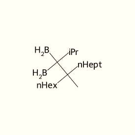 BC(B)(C(C)C)C(C)(CCCCCC)CCCCCCC